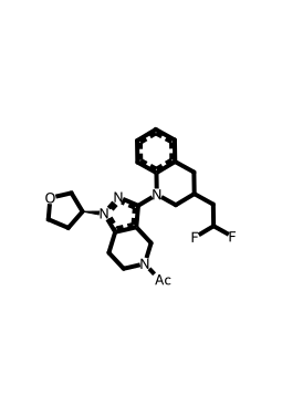 CC(=O)N1CCc2c(c(N3CC(CC(F)F)Cc4ccccc43)nn2[C@H]2CCOC2)C1